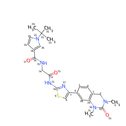 CN1Cc2ccc(-c3csc(NC(=O)CNC(=O)c4ccn(C(C)(C)C)c4)n3)cc2N(C)C1=O